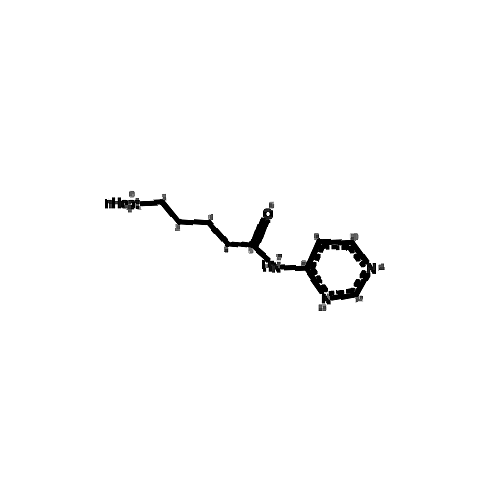 CCCCCCCCCCCC(=O)Nc1ccncn1